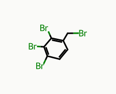 BrCc1ccc(Br)c(Br)c1Br